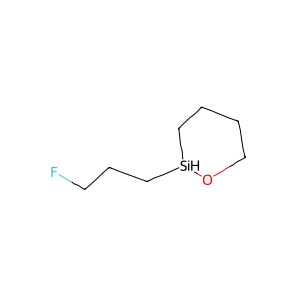 FCCC[SiH]1CCCCO1